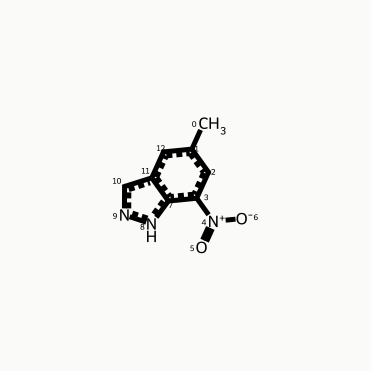 Cc1cc([N+](=O)[O-])c2[nH]ncc2c1